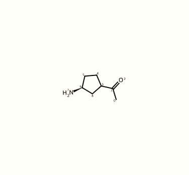 CC(=O)C1CC[C@H](N)C1